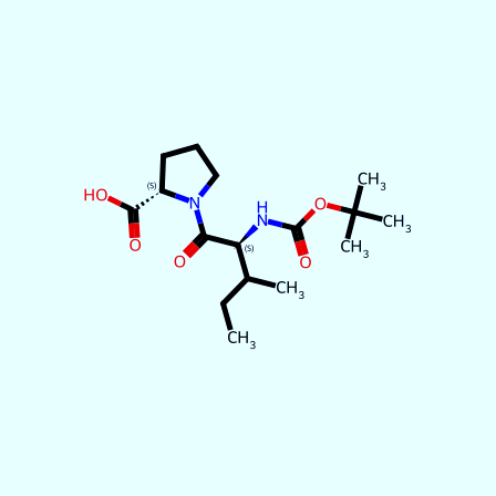 CCC(C)[C@H](NC(=O)OC(C)(C)C)C(=O)N1CCC[C@H]1C(=O)O